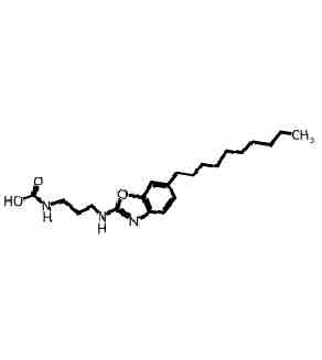 CCCCCCCCCCc1ccc2nc(NCCCNC(=O)O)oc2c1